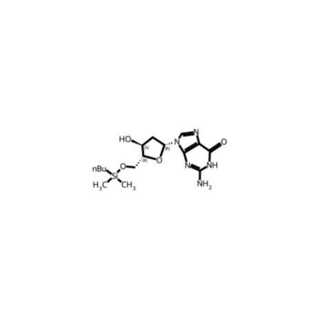 CCCC[Si](C)(C)OC[C@H]1O[C@@H](n2cnc3c(=O)[nH]c(N)nc32)C[C@@H]1O